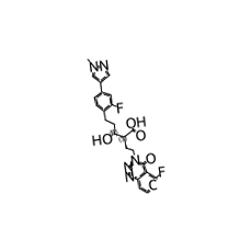 Cn1cc(-c2ccc(CC[C@@H](O)[C@H](CCn3nnc4cccc(F)c4c3=O)C(=O)O)c(F)c2)cn1